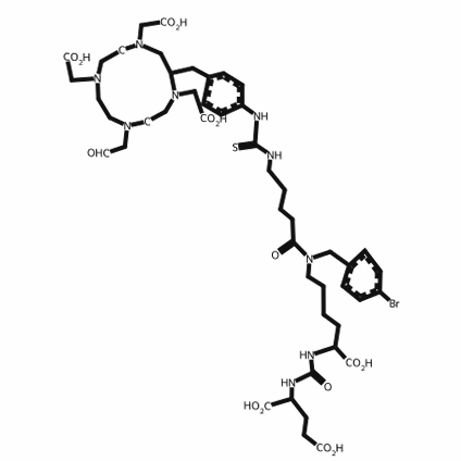 O=CCN1CCN(CC(=O)O)CCN(CC(=O)O)CC(Cc2ccc(NC(=S)NCCCCC(=O)N(CCCCC(NC(=O)NC(CCC(=O)O)C(=O)O)C(=O)O)Cc3ccc(Br)cc3)cc2)N(CC(=O)O)CC1